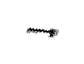 CCCCCCC/C=C\CCCCCCCCCCCCOP(=O)(O)C(CC)[N+](C)(C)C